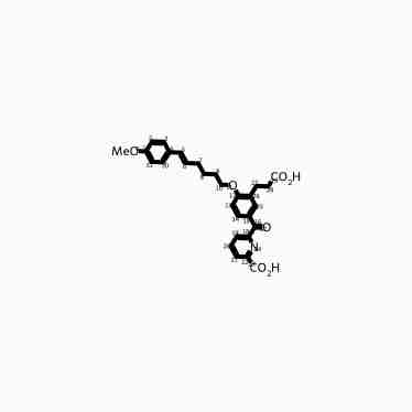 COc1ccc(/C=C/CCCCOc2ccc(C(=O)c3cccc(C(=O)O)n3)cc2CCC(=O)O)cc1